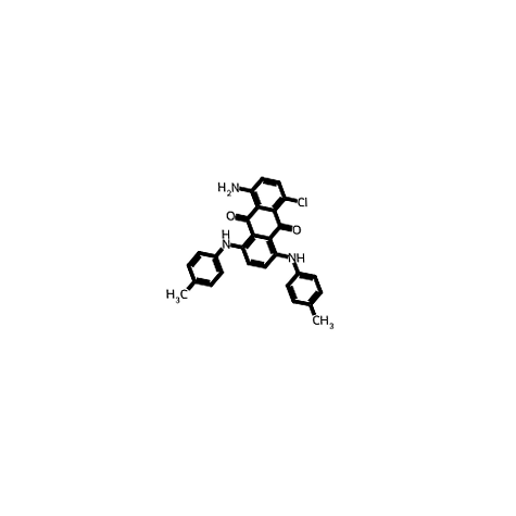 Cc1ccc(Nc2ccc(Nc3ccc(C)cc3)c3c2C(=O)c2c(N)ccc(Cl)c2C3=O)cc1